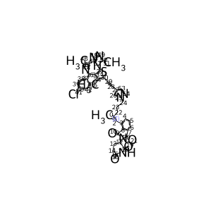 C/C(=C/c1cccc2c1C(=O)N(C1CCC(=O)NC1=O)C2=O)CCCn1cc(C#Cc2sc3c(c2C)C(c2ccc(Cl)cc2)=N[C@@H](C)c2nnc(C)n2-3)cn1